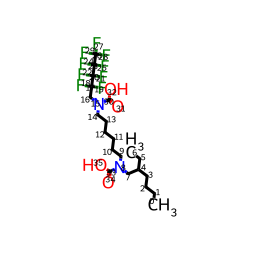 CCCCC(CC)CN(CCCCCCN(CC(F)(F)C(F)(F)C(F)(F)C(F)(F)F)C(=O)O)C(=O)O